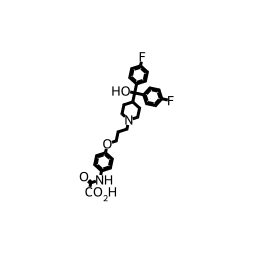 O=C(O)C(=O)Nc1ccc(OCCCN2CCC(C(O)(c3ccc(F)cc3)c3ccc(F)cc3)CC2)cc1